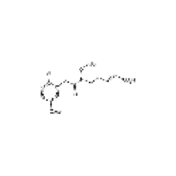 COc1ccc(Br)c(CC(=O)N(CCC=CC(=O)O)OC(C)(C)C)c1